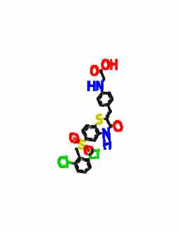 O=C(O)CNc1ccc(C=C2Sc3ccc(S(=O)(=O)Cc4c(Cl)cccc4Cl)cc3NC2=O)cc1